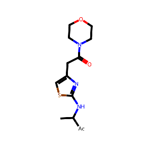 CC(=O)C(C)Nc1nc(CC(=O)N2CCOCC2)cs1